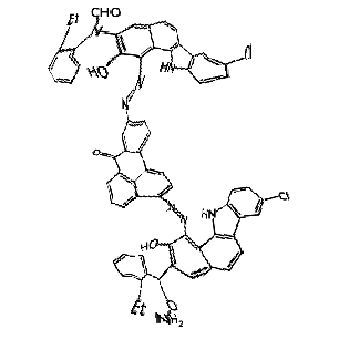 CCc1ccccc1C(ON)c1cc2ccc3c4cc(Cl)ccc4[nH]c3c2c(N=Nc2ccc3c4c(cccc24)C(=O)c2cc(N=Nc4c(O)c(N(C=O)c5ccccc5CC)cc5ccc6c7cc(Cl)ccc7[nH]c6c45)ccc2-3)c1O